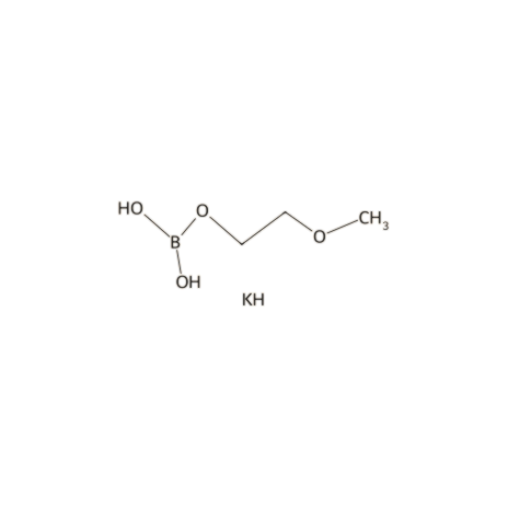 COCCOB(O)O.[KH]